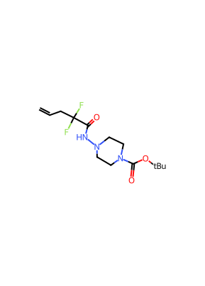 C=CCC(F)(F)C(=O)NN1CCN(C(=O)OC(C)(C)C)CC1